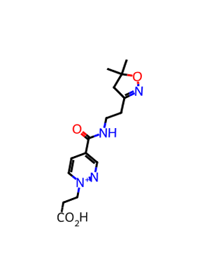 CC1(C)CC(CCNC(=O)c2cc[n+](CCC(=O)O)nc2)=NO1